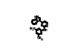 Cc1cc(C)cc(Nc2nccc(-c3c[nH]c4ccccc34)n2)c1